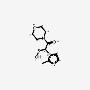 Cc1n[c]cn1C(SO)C(=O)N1CCOCC1